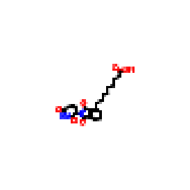 O=C(O)CCCCCCCCc1cccc2c1C(=O)N(C1CCC(=O)NC1=O)C2=O